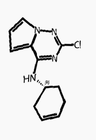 Clc1nc(N[C@H]2CC=CCC2)c2cccn2n1